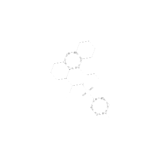 CC(NS(=O)(=O)c1ccc(F)cc1)C1CCCc2cc3c(c(OCC(=O)O)c21)CCCC3